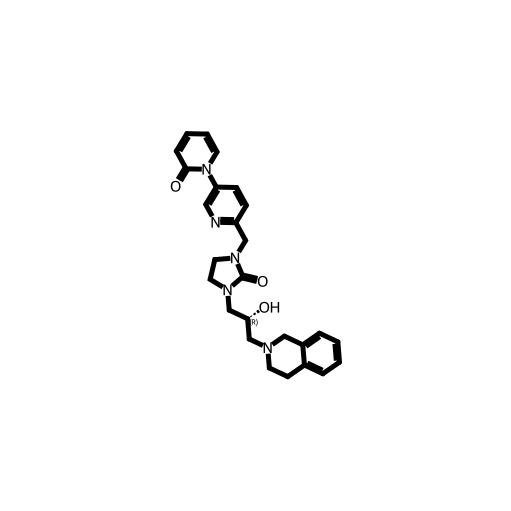 O=C1N(Cc2ccc(-n3ccccc3=O)cn2)CCN1C[C@H](O)CN1CCc2ccccc2C1